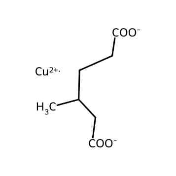 CC(CCC(=O)[O-])CC(=O)[O-].[Cu+2]